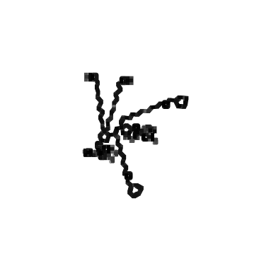 CC(C)(C)[Si](C)(C)OC1CCC(/C=C\CCCCCCCCOCc2ccccc2)(/C=C(\CCCCCCCCOCc2ccccc2)C2CC(O[Si](C)(C)C(C)(C)C)CC2(CCCCCCCCCCO)CCCCCCCCCCO)C1